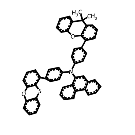 CC1(C)c2ccccc2Oc2c(-c3ccc(N(c4ccc(-c5cccc6c5Sc5ccccc5O6)cc4)c4cc5ccccc5c5ccccc45)cc3)cccc21